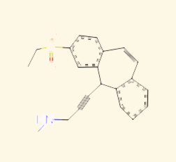 CCS(=O)(=O)c1ccc2c(c1)C(C#CCNC)c1ccccc1C=C2